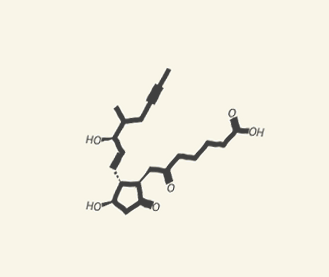 CC#CCC(C)[C@H](O)C=C[C@H]1[C@H](O)CC(=O)[C@@H]1CC(=O)CCCCC(=O)O